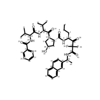 CCC[C@H](NC(=O)[C@@H]1C[C@@H](O)CN1C(=O)[C@@H](NC(=O)[C@@H](NC(=O)c1cnccn1)C(C)C)C(C)C)C(=O)C(F)(F)C(=O)N[C@@H](C)c1ccc2ccccc2c1